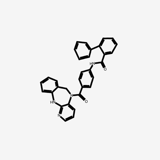 O=C(Nc1ccc(C(=O)N2Cc3ccccc3Nc3ncccc32)cc1)c1ccccc1-c1ccccc1